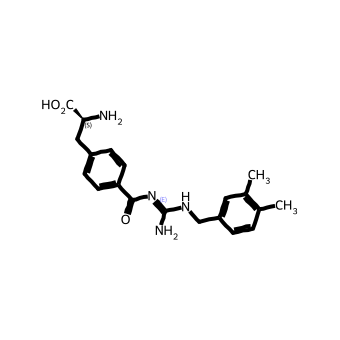 Cc1ccc(CN/C(N)=N/C(=O)c2ccc(C[C@H](N)C(=O)O)cc2)cc1C